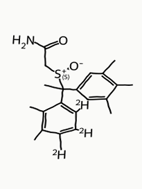 [2H]c1c([2H])c(C)c(C)c(C(C)(c2cc(C)c(C)c(C)c2)[S@+]([O-])CC(N)=O)c1[2H]